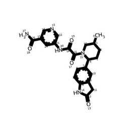 CC1CCC(c2ccc3c(c2)CC(=O)N3)N(C(=O)C(=O)Nc2cncc(C(N)=O)c2)C1